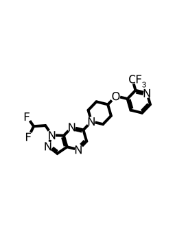 FC(F)Cn1ncc2ncc(N3CCC(Oc4cccnc4C(F)(F)F)CC3)nc21